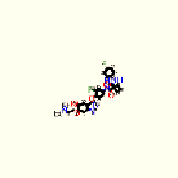 CCN(CC)CCOC1=CC2=NC=NC(Oc3ccc(NC(=O)C4(C(=O)Nc5ccc(F)cc5)CCC4)cc3F)C2C=C1O